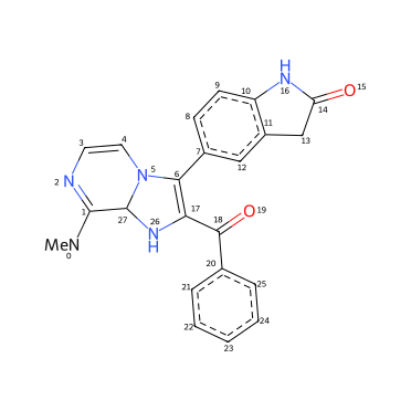 CNC1=NC=CN2C(c3ccc4c(c3)CC(=O)N4)=C(C(=O)c3ccccc3)NC12